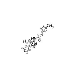 Cc1ccc(CCC(=O)Nc2ncc(-c3ccccc3)n2C)o1